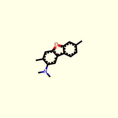 Cc1ccc2c(c1)oc1cc(C)c(N(C)C)cc12